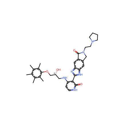 Cc1c(C)c(C)c(OC[C@H](O)CNc2cc[nH]c(=O)c2-c2nc3cc4c(cc3[nH]2)CN(CCN2CCCC2)C4=O)c(C)c1C